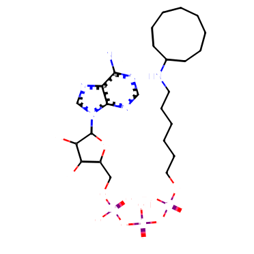 Nc1ncnc2c1ncn2C1OC(COP(=O)(O)OP(=O)(O)OP(=O)(O)OCCCCCCNC2CCCCCCCC2)C(O)C1O